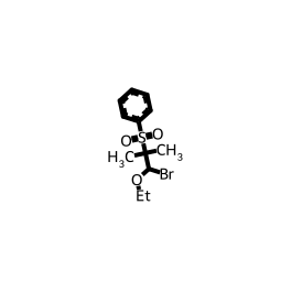 CCOC(Br)C(C)(C)S(=O)(=O)c1ccccc1